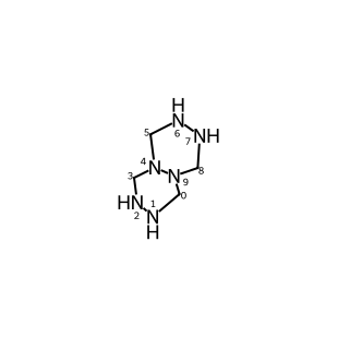 C1NNCN2CNNCN12